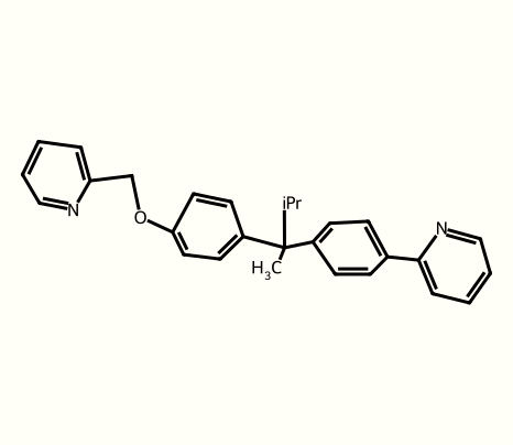 CC(C)C(C)(c1ccc(OCc2ccccn2)cc1)c1ccc(-c2ccccn2)cc1